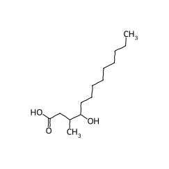 CCCCCCCCCC(O)C(C)CC(=O)O